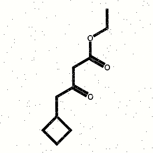 CCOC(=O)CC(=O)CC1CCC1